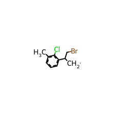 [CH2]C(CBr)c1cccc(C)c1Cl